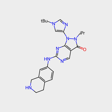 CC(C)n1c(=O)c2cnc(Nc3ccc4c(c3)CNCC4)nc2n1-c1cn(C(C)(C)C)cn1